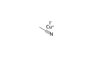 CC#N.[Cu+].[I-]